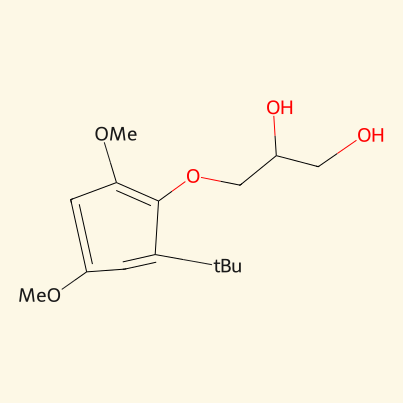 COc1cc(OC)c(OCC(O)CO)c(C(C)(C)C)c1